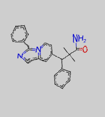 CC(C)(C(N)=O)C(c1ccccc1)c1ccn2c(-c3ccccc3)ncc2c1